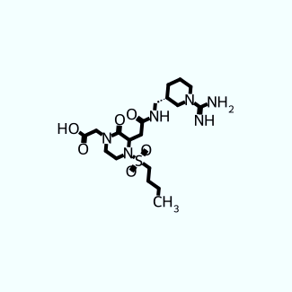 CCCCS(=O)(=O)N1CCN(CC(=O)O)C(=O)C1CC(=O)NC[C@@H]1CCCN(C(=N)N)C1